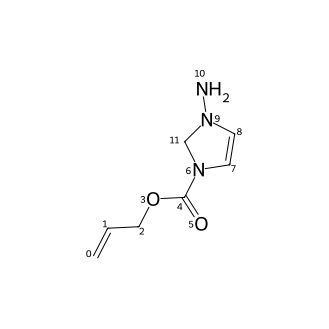 C=CCOC(=O)N1C=CN(N)C1